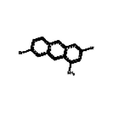 Nc1cc(Br)cc2cc3ccc(Br)cc3cc12